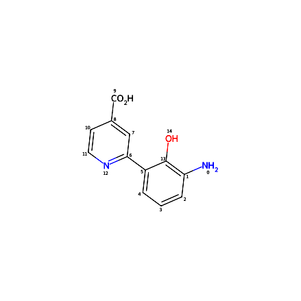 Nc1cccc(-c2cc(C(=O)O)ccn2)c1O